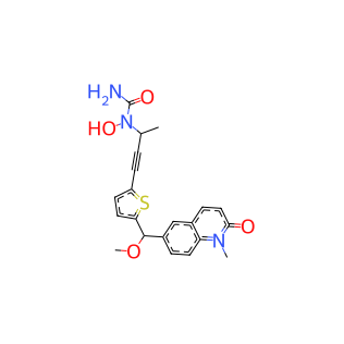 COC(c1ccc2c(ccc(=O)n2C)c1)c1ccc(C#CC(C)N(O)C(N)=O)s1